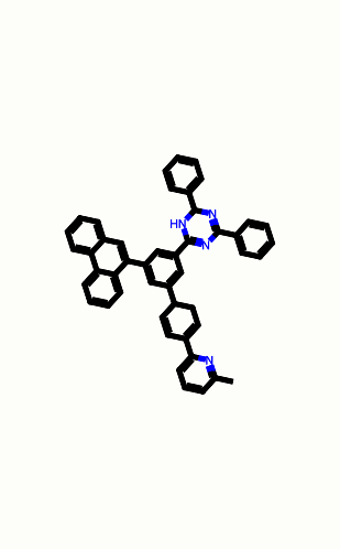 Cc1cccc(C2=CCC(c3cc(C4=NC(c5ccccc5)=NC(c5ccccc5)N4)cc(-c4cc5ccccc5c5ccccc45)c3)C=C2)n1